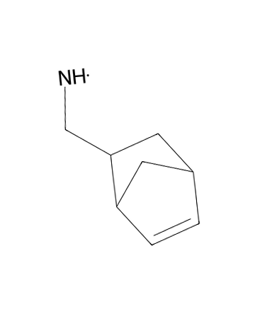 [NH]CC1CC2C=CC1C2